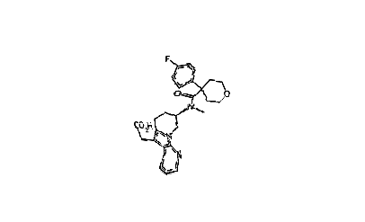 CN(C(=O)C1(c2ccc(F)cc2)CCOCC1)[C@@H]1CCc2c(CC(=O)O)c3cccnc3n2C1